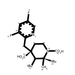 CC(C)(C)C1[C@@](Cc2ncc(F)cc2F)(C(=O)O)CCN(C(=O)O)[C@@]1(C)C(C)(C)C